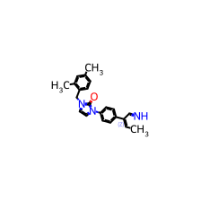 C/C=C(\C=N)c1ccc(-n2ccn(Cc3ccc(C)cc3C)c2=O)cc1